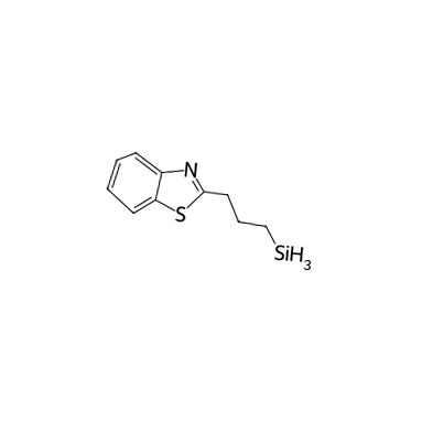 [SiH3]CCCc1nc2ccccc2s1